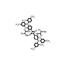 CCCCC(CC)C(=O)NC1=CC(=[N+](c2ccc(C)cc2C)c2ccc(C)cc2C)C=C/C1=C1\C(=O)C(c2ccc(N(c3ccc(C)cc3C)c3ccc(C)cc3C)cc2NC(=O)C(CC)CCCC)=C1[O-]